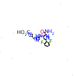 NC(=O)c1nnc(-c2c(F)cccc2F)cc1Nc1cnn(CC2CN(C(=O)O)C2)c1